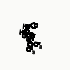 CC(C)C1(C(=O)NCc2cc(C(F)(F)F)cc(C(F)(F)F)c2)CC(NC2CCOCC2)CN1